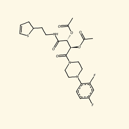 CC(=O)O[C@@H](C(=O)NCCC1CC=CS1)[C@@H](OC(C)=O)C(=O)N1CCN(c2ccc(F)cc2F)CC1